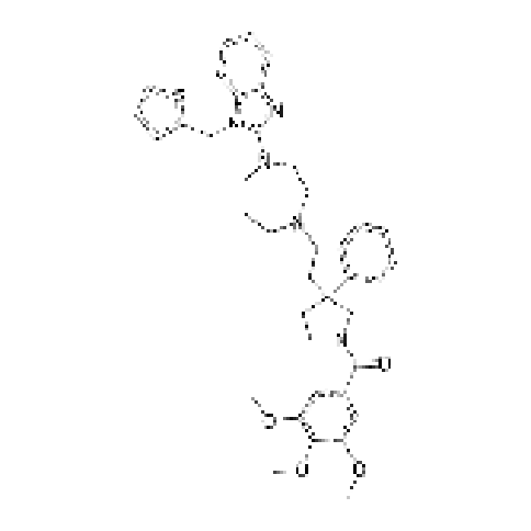 COc1cc(C(=O)N2CCC(CCN3CCCN(c4nc5ccccc5n4Cc4cccs4)CC3)(c3ccccc3)C2)cc(OC)c1OC